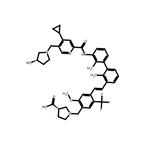 COc1cc(/C=C/c2cccc(-c3cccc(NC(=O)c4cc(C5CC5)c(CN5CC[C@@H](O)C5)cn4)c3C)c2C)c(C(F)(F)F)cc1CN1CC[C@@H](C(=O)O)C1